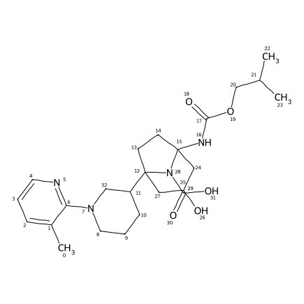 Cc1cccnc1N1CCCC(C23CCC(NC(=O)OCC(C)C)(CC(O)C2)N3C(=O)O)C1